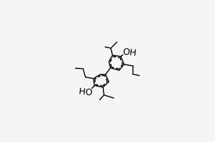 CCCc1cc(-c2cc(CCC)c(O)c(C(C)C)c2)cc(C(C)C)c1O